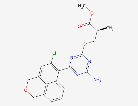 COC(=O)[C@@H](C)CSc1nc(N)nc(-c2c(Cl)cc3c4c(cccc24)COC3)n1